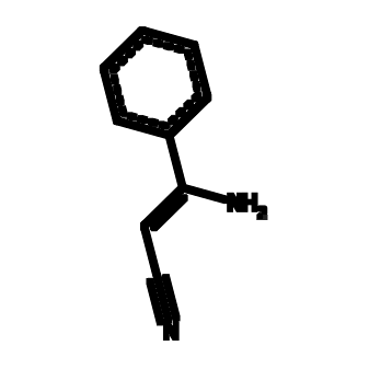 N#CC=C(N)c1ccccc1